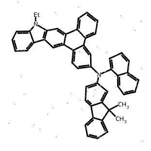 CCn1c2ccccc2c2cc3c4ccc(N(c5ccc6c(c5)C(C)(C)c5ccccc5-6)c5cccc6ccccc56)cc4c4ccccc4c3cc21